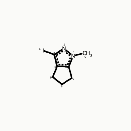 Cn1nc(I)c2c1CCC2